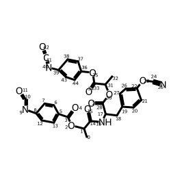 CC(OC(=O)c1ccc(N=C=O)cc1)C(=O)NC(Cc1ccc(OC#N)cc1)C(=O)OC(C)C(=O)Oc1ccc(N=C=O)cc1